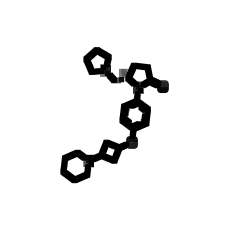 O=C1CC[C@@H](CN2CCCC2)N1c1ccc(OC2CC(N3CCCCC3)C2)cc1